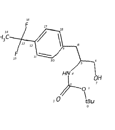 CC(C)(C)OC(=O)NC(CO)Cc1ccc(C(C)(F)F)cc1